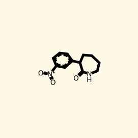 O=C1NCCCCC1c1cccc([N+](=O)[O-])c1